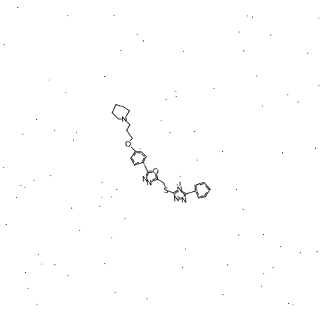 Cn1c(SCc2nnc(-c3ccc(OCCCN4CCCCC4)cc3)o2)nnc1-c1ccccc1